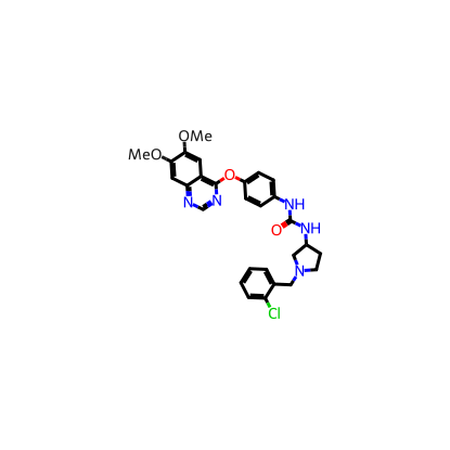 COc1cc2ncnc(Oc3ccc(NC(=O)NC4CCN(Cc5ccccc5Cl)C4)cc3)c2cc1OC